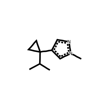 CC(C)C1(c2cnn(C)c2)CC1